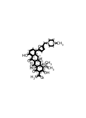 CN1CCN(Cc2ccc(-c3ccc(O)c4c3C[C@H]3C[C@H]5[C@@H](N(C)C)C(O)=C(C(N)=O)C(=O)[C@@]5(O)C(O)=C3C4=O)o2)CC1